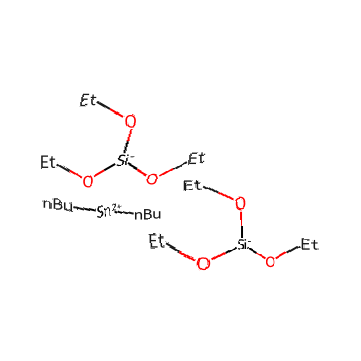 CCC[CH2][Sn+2][CH2]CCC.CCO[Si-](OCC)OCC.CCO[Si-](OCC)OCC